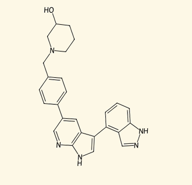 OC1CCCN(Cc2ccc(-c3cnc4[nH]cc(-c5cccc6[nH]ncc56)c4c3)cc2)C1